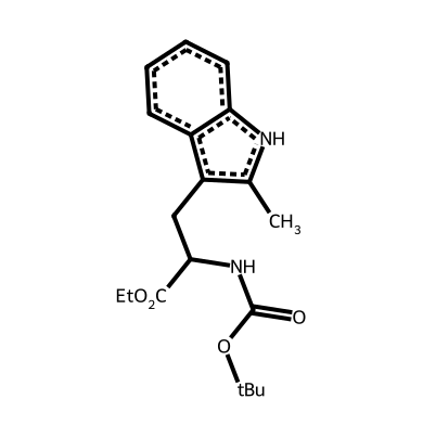 CCOC(=O)C(Cc1c(C)[nH]c2ccccc12)NC(=O)OC(C)(C)C